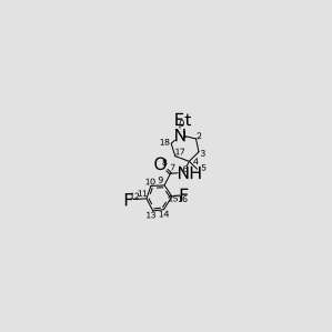 CCN1CCC(C)(NC(=O)c2cc(F)ccc2F)CC1